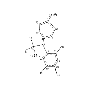 CCCc1ccc(C2c3c(C)cc(C)c(C)c3OC2(C)C)cc1